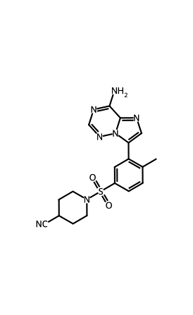 Cc1ccc(S(=O)(=O)N2CCC(C#N)CC2)cc1-c1cnc2c(N)ncnn12